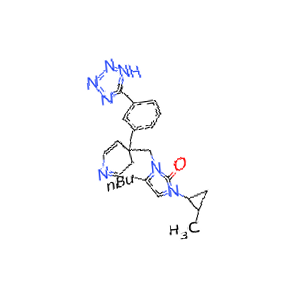 CCCCc1cn(C2CC2C)c(=O)n1CC1(c2cccc(-c3nnn[nH]3)c2)C=CN=CC1